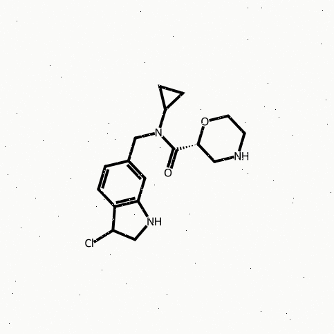 O=C([C@H]1CNCCO1)N(Cc1ccc2c(c1)NCC2Cl)C1CC1